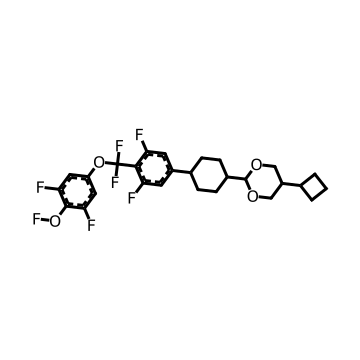 FOc1c(F)cc(OC(F)(F)c2c(F)cc(C3CCC(C4OCC(C5CCC5)CO4)CC3)cc2F)cc1F